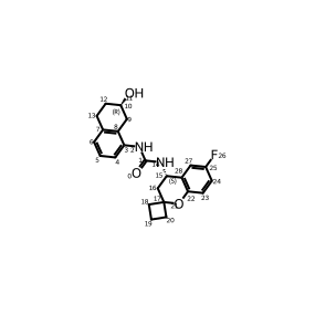 O=C(Nc1cccc2c1C[C@H](O)CC2)N[C@H]1CC2(CCC2)Oc2ccc(F)cc21